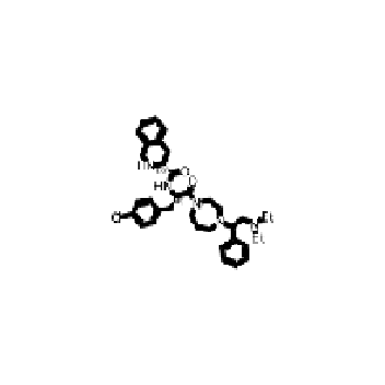 CCN(CC)CC(c1ccccc1)N1CCCN(C(=O)[C@@H](Cc2ccc(Cl)cc2)NC(=O)[C@H]2Cc3ccccc3CN2)CC1